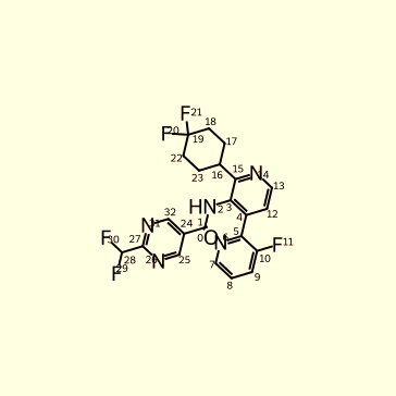 O=C(Nc1c(-c2ncccc2F)ccnc1C1CCC(F)(F)CC1)c1cnc(C(F)F)nc1